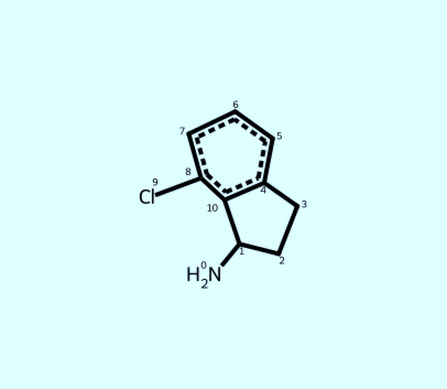 NC1CCc2cccc(Cl)c21